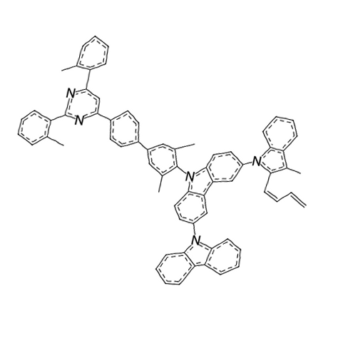 C=C/C=C\c1c(C)c2ccccc2n1-c1ccc2c(c1)c1cc(-n3c4ccccc4c4ccccc43)ccc1n2-c1c(C)cc(-c2ccc(-c3cc(-c4ccccc4C)nc(-c4ccccc4C)n3)cc2)cc1C